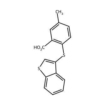 Cc1ccc(Sc2csc3ccccc23)c(C(=O)O)c1